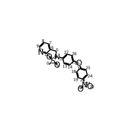 CS(=O)(=O)N(Cc1cccnc1)c1ccc(Oc2ccc([N+](=O)[O-])cc2)cc1